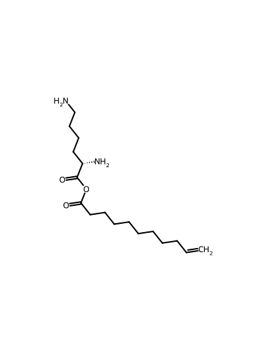 C=CCCCCCCCCC(=O)OC(=O)[C@@H](N)CCCCN